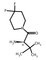 CC(C)(C)[C@@H](N)C(=O)N1CCC(F)(F)CC1